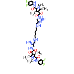 Cc1c(C(=O)C(=O)NC/C(=C/NCCCCCCN/C=C(/CNC(=O)C(=O)c2c(C)c(C(=O)Nc3ccc(F)c(F)c3)n(C)c2C)N=N)N=N)c(C)n(C)c1C(=O)Nc1ccc(F)c(F)c1